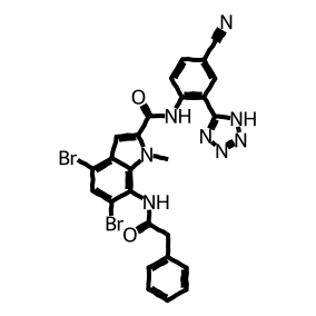 Cn1c(C(=O)Nc2ccc(C#N)cc2-c2nnn[nH]2)cc2c(Br)cc(Br)c(NC(=O)Cc3ccccc3)c21